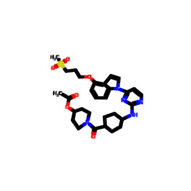 CC(=O)OC1CCN(C(=O)C2CCC(Nc3nccc(-n4ccc5c(OCCCS(C)(=O)=O)cccc54)n3)CC2)CC1